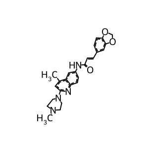 Cc1cc(N2CCN(C)CC2)nc2ccc(NC(=O)C=Cc3ccc4c(c3)OCO4)cc12